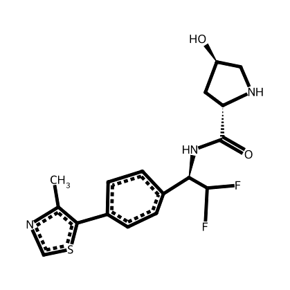 Cc1ncsc1-c1ccc([C@@H](NC(=O)[C@@H]2C[C@@H](O)CN2)C(F)F)cc1